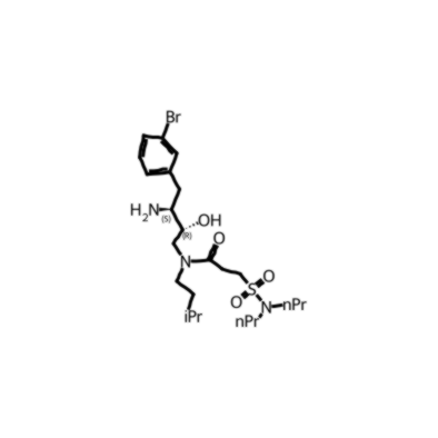 CCCN(CCC)S(=O)(=O)CCC(=O)N(CCC(C)C)C[C@@H](O)[C@@H](N)Cc1cccc(Br)c1